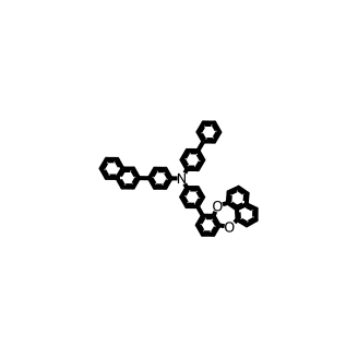 c1ccc(-c2ccc(N(c3ccc(-c4ccc5ccccc5c4)cc3)c3ccc(-c4cccc5c4Oc4cccc6cccc(c46)O5)cc3)cc2)cc1